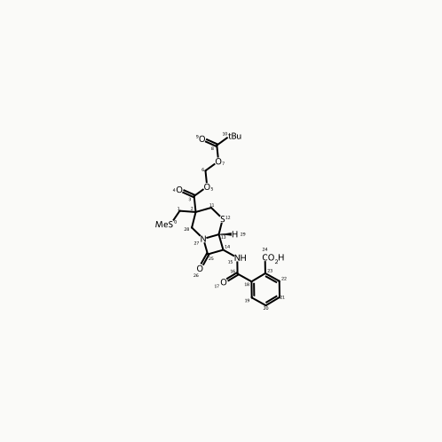 CSCC1(C(=O)OCOC(=O)C(C)(C)C)CS[C@@H]2C(NC(=O)c3ccccc3C(=O)O)C(=O)N2C1